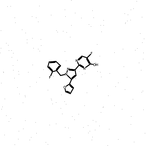 Oc1nc(-c2cc(-c3ccco3)n(Cc3ccccc3F)n2)ncc1F